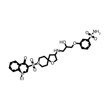 CCn1cc(S(=O)(=O)N2CCC3(CC2)CC(NCC(O)COc2cccc(S(N)(=O)=O)c2)CO3)c(=O)c2ccccc21